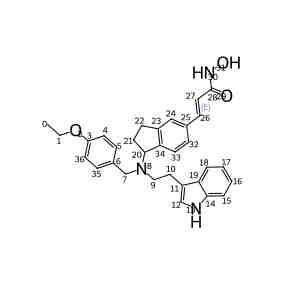 CCOc1ccc(CN(CCc2c[nH]c3ccccc23)C2CCc3cc(/C=C/C(=O)NO)ccc32)cc1